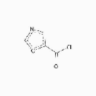 O=C(Cl)c1cnco1